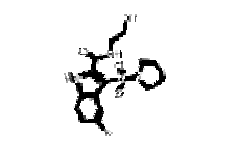 O=C(NCCO)c1[nH]c2ccc(Br)cc2c1S(=O)(=O)N1CCCC1